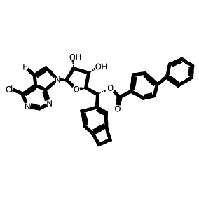 O=C(O[C@H](c1ccc2c(c1)CC2)[C@H]1O[C@@H](n2cc(F)c3c(Cl)ncnc32)[C@H](O)[C@@H]1O)c1ccc(-c2ccccc2)cc1